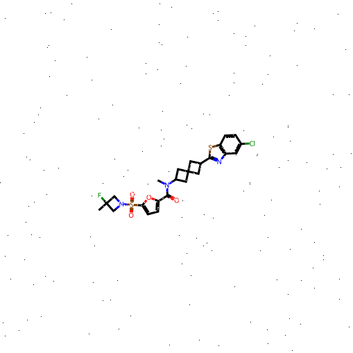 CN(C(=O)c1ccc(S(=O)(=O)N2CC(C)(F)C2)o1)C1CC2(CC(c3nc4cc(Cl)ccc4s3)C2)C1